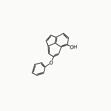 Oc1ccc2c3c(cc(Oc4ccccc4)cc13)C=C2